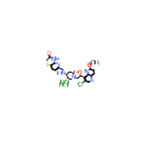 COc1ccc2ncc(Cl)c(C(O)CN3CCC(NCc4ccc5c(n4)NC(=O)CS5)CC3)c2n1.Cl.Cl